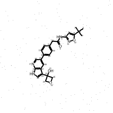 CC(C)(C)c1cc(NC(=O)Cc2ccc(-c3cnc4[nH]cc(C5(O)COC5)c4c3)cc2)no1